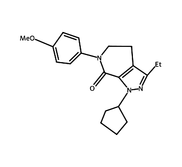 CCc1nn(C2CCCC2)c2c1CCN(c1ccc(OC)cc1)C2=O